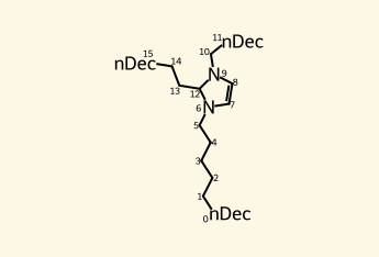 CCCCCCCCCCCCCCCN1C=CN(CCCCCCCCCCC)C1CCCCCCCCCCCC